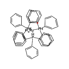 c1ccc([PH](c2ccccc2)(c2ccccc2)[RuH4]([PH](c2ccccc2)(c2ccccc2)c2ccccc2)[PH](c2ccccc2)(c2ccccc2)c2ccccc2)cc1